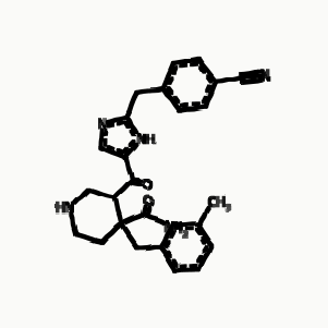 Cc1cccc(CC2(C(N)=O)CCNCC2C(=O)c2cnc(Cc3ccc(C#N)cc3)[nH]2)c1